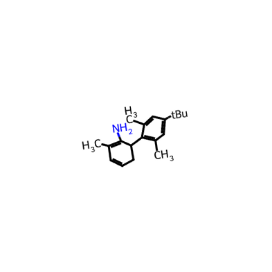 CC1=C(N)C(c2c(C)cc(C(C)(C)C)cc2C)CC=C1